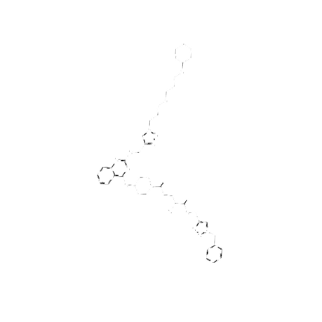 N[C@@H](CCC(=O)N1CCC(Nc2nc(NCc3cn(CCCNCCCNC4CCCCC4)nn3)nc3ccccc23)CC1)C(=O)NCc1cn(Cc2ccccc2)nn1